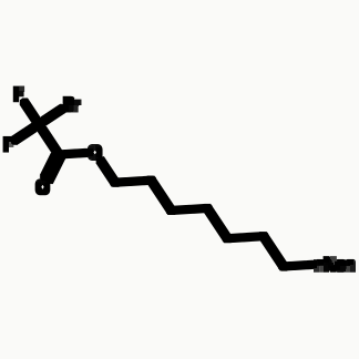 CCCCCCCCCCCCCCCCOC(=O)C(F)(F)Br